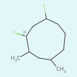 CC1CCCC(F)C[C@H](F)C(C)C1